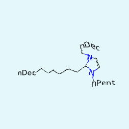 CCCCCCCCCCCCCCCCC1N(CCCCC)C=CN1CCCCCCCCCCC